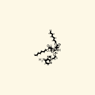 CCCCCCCOC(=O)C(C)(C)NP(=O)(CO[C@H](C)Cn1cnc2c(N)ccnc21)NC(C)(C)C(=O)OCCCCCCC